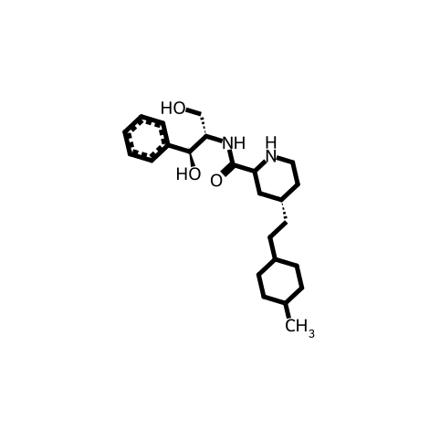 CC1CCC(CC[C@H]2CCNC(C(=O)N[C@@H](CO)[C@@H](O)c3ccccc3)C2)CC1